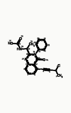 CC(Cl)C#Cc1cccc2nc(C(C)NC(=O)O)n(-c3ccccc3)c(=O)c12